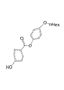 CCCCCCOc1ccc(OC(=O)c2ccc(O)cc2)cc1